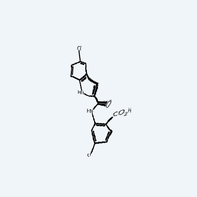 O=C(Nc1cc(Cl)ccc1C(=O)O)c1cc2cc(Cl)ccc2[nH]1